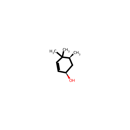 C[C@H]1C[C@@H](O)C=CC1(C)C